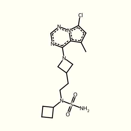 Cc1cc(Cl)n2ncnc(N3CC(CCN(C4CCC4)S(N)(=O)=O)C3)c12